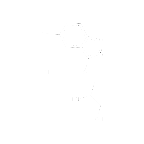 Cl.NC(CO)COc1noc2ccc(Cl)cc12